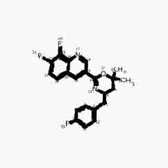 CC1(C)CC(Cc2ccc(F)cc2)N=C(c2cnc3c(F)c(F)ccc3c2)O1